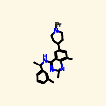 Cc1cccc([C@@H](C)Nc2nc(C)nc3c(C)cc(C4CCN(C(C)C)CC4)cc23)c1